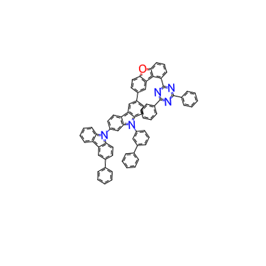 c1ccc(-c2cccc(-n3c4ccc(-c5ccc6oc7cccc(-c8nc(-c9ccccc9)nc(-c9ccccc9)n8)c7c6c5)cc4c4ccc(-n5c6ccccc6c6cc(-c7ccccc7)ccc65)cc43)c2)cc1